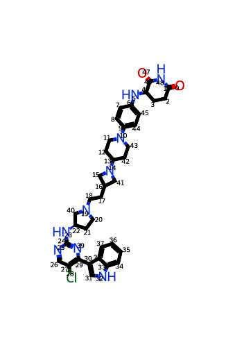 O=C1CCC(Nc2ccc(N3CCC(N4CC(CCN5CC[C@@H](Nc6ncc(Cl)c(-c7c[nH]c8ccccc78)n6)C5)C4)CC3)cc2)C(=O)N1